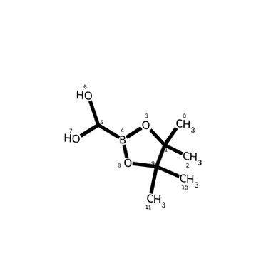 CC1(C)OB(C(O)O)OC1(C)C